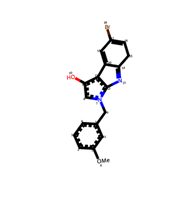 COc1cccc(Cn2cc(O)c3c2N=C2CC=C(Br)C=C23)c1